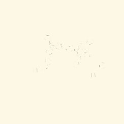 C=Cc1ccc(CCCCCC2(c3ccccc3)c3ccccc3-c3ccc(N(c4ccc(-c5ccc6c(c5)c5cc(-c7ccc(C=C)cc7)ccc5n6-c5ccccc5)cc4)c4ccc5ccccc5c4)cc32)cc1